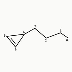 CCC[CH]C1C=C1